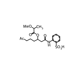 COC(C)C(=O)OC(CCCC(C)=O)CC(=O)Nc1ccccc1S(=O)(=O)O